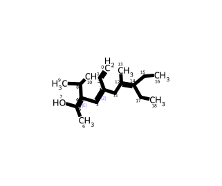 C=C/C(=C\C(=C(/C)O)C(C)C)CC(C)=C(CC)CC